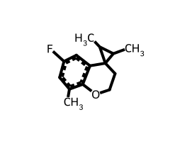 Cc1cc(F)cc2c1OCCC21C(C)C1C